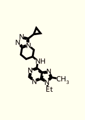 CCn1c(C)nc2c(NC3CCc4nnc(C5CC5)n4C3)ncnc21